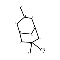 CC1CC2CC(C1)CC(C)(C#N)C2